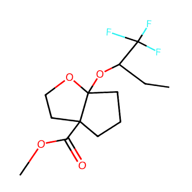 CCC(OC12CCCC1(C(=O)OC)CCO2)C(F)(F)F